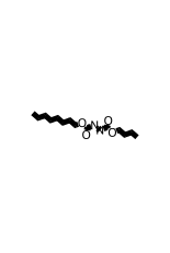 CCCCCCCCOC(=O)/N=N/C(=O)OCCCC